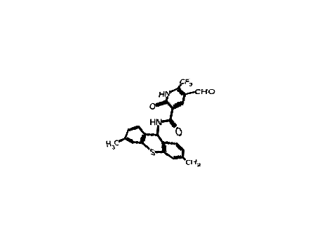 Cc1ccc2c(c1)Sc1cc(C)ccc1C2NC(=O)c1cc(C=O)c(C(F)(F)F)[nH]c1=O